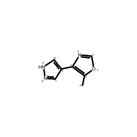 Cc1ocnc1-c1[c]n[nH]c1